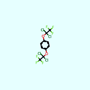 FC(F)(F)C(Cl)(Cl)Oc1ccc(OC(Cl)(Cl)C(F)(F)F)cc1